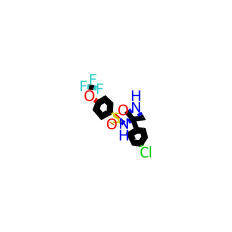 O=S(=O)(NC1(c2ccc(Cl)cc2)CNC1)c1ccc(OC(F)(F)F)cc1